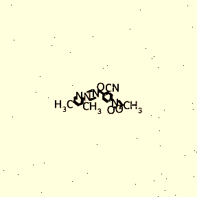 Cc1cnc(N2CCN(C(=O)c3ccc(N4C[C@H](C)OC4=O)cc3C#N)CC2)c(C)c1